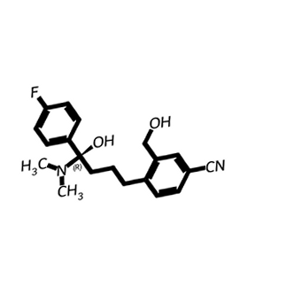 CN(C)[C@@](O)(CCCc1ccc(C#N)cc1CO)c1ccc(F)cc1